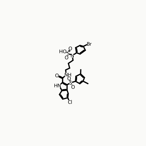 Cc1cc(C)cc(S(=O)(=O)c2c(C(=O)NCCCCN(c3ccc(Br)cc3)S(=O)(=O)O)[nH]c3ccc(Cl)cc23)c1